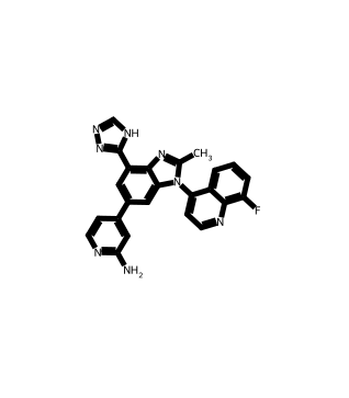 Cc1nc2c(-c3nnc[nH]3)cc(-c3ccnc(N)c3)cc2n1-c1ccnc2c(F)cccc12